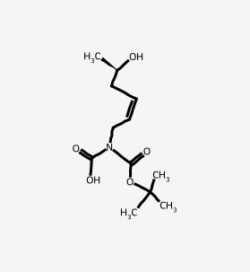 C[C@@H](O)C/C=C\CN(C(=O)O)C(=O)OC(C)(C)C